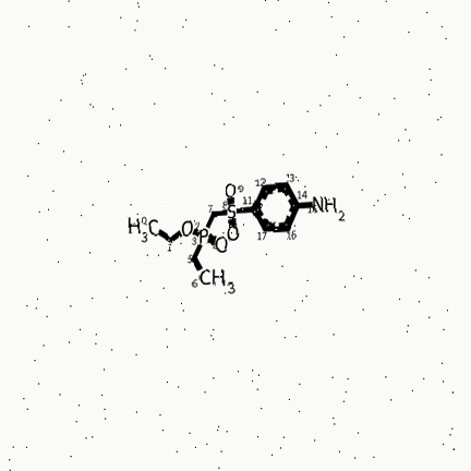 CCOP(=O)(CC)CS(=O)(=O)c1ccc(N)cc1